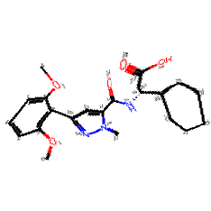 COc1cccc(OC)c1-c1cc(C(=O)N[C@H](C(=O)O)C2CCCCC2)n(C)n1